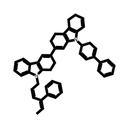 C/C=C(\C=C/Cn1c2c(c3ccccc31)C=C(C1=Cc3c(c4c(n3C3C=CC(c5ccccc5)=CC3)C=CCC4)CC1)CC2)c1ccccc1